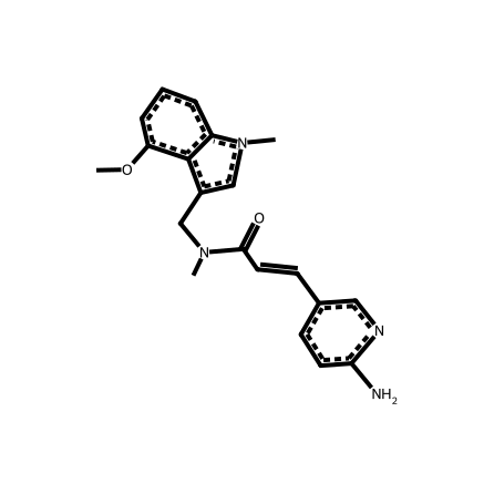 COc1cccc2c1c(CN(C)C(=O)/C=C/c1ccc(N)nc1)cn2C